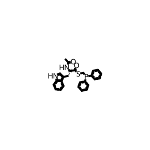 CC(=O)N[C@@H](Cc1c[nH]c2ccccc12)C(=O)SCP(c1ccccc1)c1ccccc1